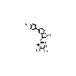 CC[C@H](C)[C@H](NC(=O)Cc1c[nH]c2ccc(-c3ccc(C#N)cc3)cc12)C(=O)C(C)C